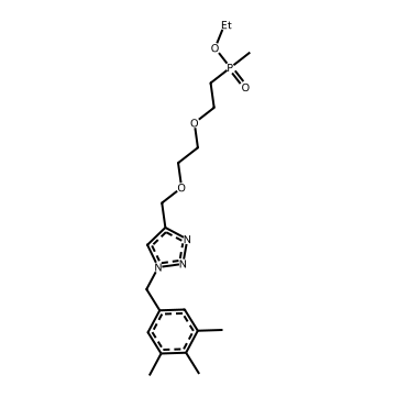 CCOP(C)(=O)CCOCCOCc1cn(Cc2cc(C)c(C)c(C)c2)nn1